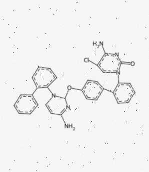 NC1=NC(Oc2ccc(-c3ccccc3-n3cc(Cl)c(N)nc3=O)cc2)N(c2ccccc2-c2ccccc2)C=C1